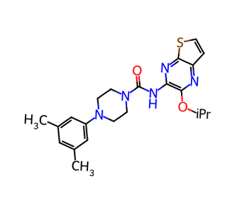 Cc1cc(C)cc(N2CCN(C(=O)Nc3nc4sccc4nc3OC(C)C)CC2)c1